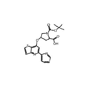 CC(C)(C)OC(=O)N1CC(Oc2cc(-c3ccccn3)nc3ccsc23)CC1C(=O)O